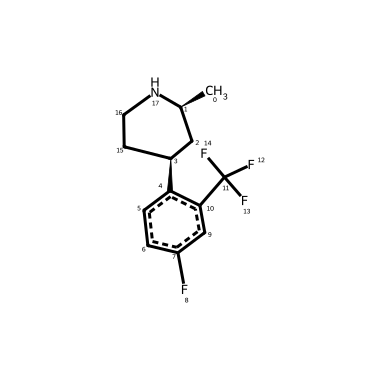 C[C@H]1C[C@@H](c2ccc(F)cc2C(F)(F)F)CCN1